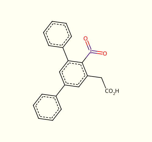 O=C(O)Cc1cc(-c2ccccc2)cc(-c2ccccc2)c1I(=O)=O